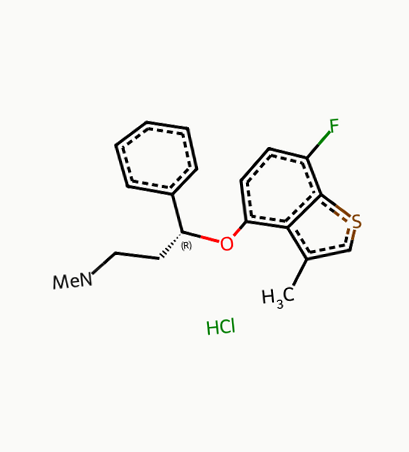 CNCC[C@@H](Oc1ccc(F)c2scc(C)c12)c1ccccc1.Cl